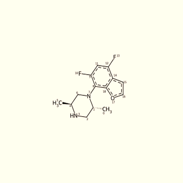 C[C@@H]1CN[C@@H](C)CN1c1c(F)cc(F)c2ccoc12